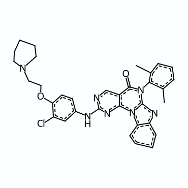 Cc1cccc(C)c1-n1c(=O)c2cnc(Nc3ccc(OCCN4CCCCC4)c(Cl)c3)nc2n2c3ccccc3nc12